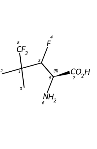 CC(C)(C(F)[C@H](N)C(=O)O)C(F)(F)F